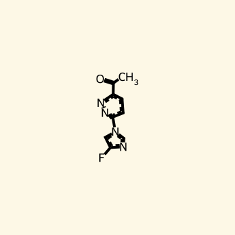 CC(=O)c1ccc(-n2cnc(F)c2)nn1